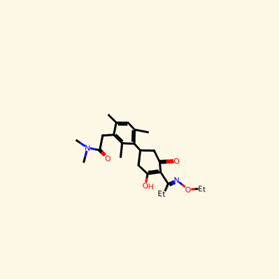 CCON=C(CC)C1=C(O)CC(c2c(C)cc(C)c(CC(=O)N(C)C)c2C)CC1=O